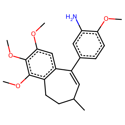 COc1ccc(C2=CC(C)CCc3c2cc(OC)c(OC)c3OC)cc1N